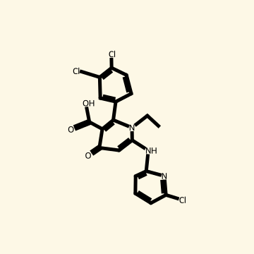 CCn1c(Nc2cccc(Cl)n2)cc(=O)c(C(=O)O)c1-c1ccc(Cl)c(Cl)c1